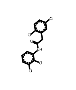 O=C(Cc1cc(Cl)ccc1Cl)Nc1cccc(Cl)c1Cl